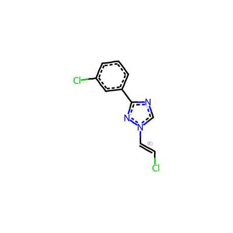 Cl/C=C/n1cnc(-c2cccc(Cl)c2)n1